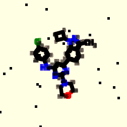 Cc1nn(C2CCC2)c2cc(-c3cc(Nc4ccc(Cl)cc4)nc(N4CCOCC4)n3)ccc12